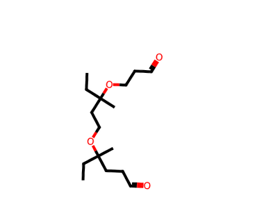 CCC(C)(CCC=O)OCCC(C)(CC)OCCC=O